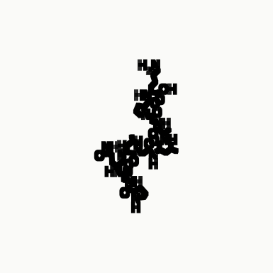 CC(C)CC(NC(=O)CNC(=O)C(CC(C)C)NC(=O)C(CCC(N)=O)NC(=O)CNC(=O)C1CCCN1)C(=O)NC(C)C(=O)NCC(=O)N1CCCC1C(=O)NC(CCCCN)C(=O)O